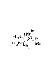 CCCCC(CC)CN(CC(CC)CCCC)C1=CC(=C(N)N)CC(C)(C)C1